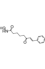 O=C(C=Cc1ccccc1)CCCCC(=O)NO